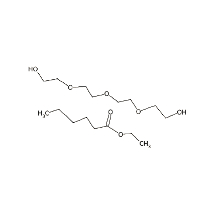 CCCCCC(=O)OCC.OCCOCCOCCOCCO